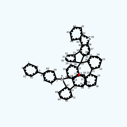 c1ccc(-c2ccc(N(c3ccc4c(c3)-c3ccccc3-c3ccccc3C43c4ccccc4-c4c3ccc3sc5ccccc5c43)c3ccccc3-c3ccccc3)cc2)cc1